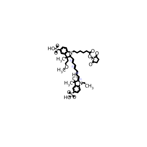 CCN1/C(=C/C=C/C=C/C=C/C2=[N+](CCCCCC(=O)ON3C(=O)CCC3=O)c3ccc(S(=O)(=O)O)cc3C2(C)CCOC)C(C)(C)c2cc(S(=O)(=O)O)ccc21